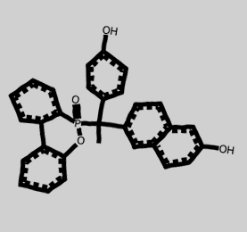 CC(c1ccc(O)cc1)(c1ccc2cc(O)ccc2c1)P1(=O)Oc2ccccc2-c2ccccc21